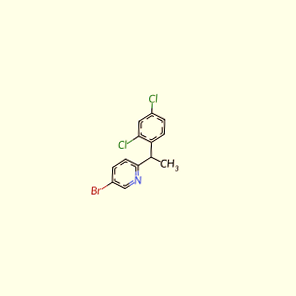 CC(c1ccc(Br)cn1)c1ccc(Cl)cc1Cl